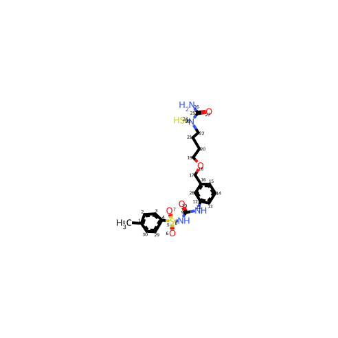 Cc1ccc(S(=O)(=O)NC(=O)Nc2cccc(COCCCCN(S)C(N)=O)c2)cc1